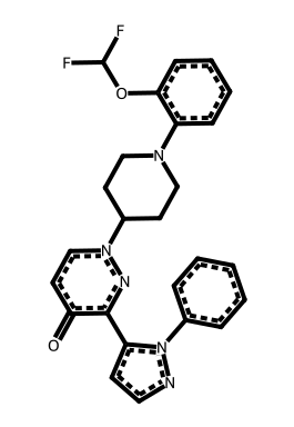 O=c1ccn(C2CCN(c3ccccc3OC(F)F)CC2)nc1-c1ccnn1-c1ccccc1